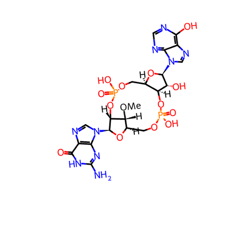 CO[C@H]1[C@H]2OP(=O)(O)OC[C@H]3O[C@@H](n4cnc5c(O)ncnc54)[C@H](O)[C@H]3OP(=O)(O)OC[C@H]1O[C@H]2n1cnc2c(=O)[nH]c(N)nc21